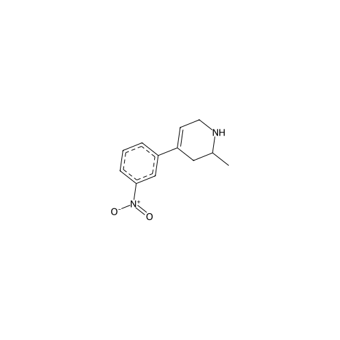 CC1CC(c2cccc([N+](=O)[O-])c2)=CCN1